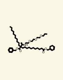 C=C(NCCOCCOCCOCCC)C(CCCCCCCCCCC)(CCCCCCCCCCC(=O)OCC1=CC=CCC1)C(=O)OCc1ccccc1